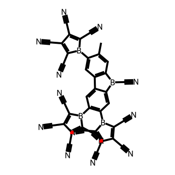 Cc1cc2c(cc1B1C(C#N)=C(C#N)C(C#N)=C1C#N)-c1cc(B3C(C#N)=C(C#N)C(C#N)=C3C#N)c(B3C(C#N)=C(C#N)C(C#N)=C3C#N)cc1B2C#N